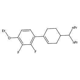 CCCC(CCC)C1CC=C(c2ccc(OCC)c(F)c2F)CC1